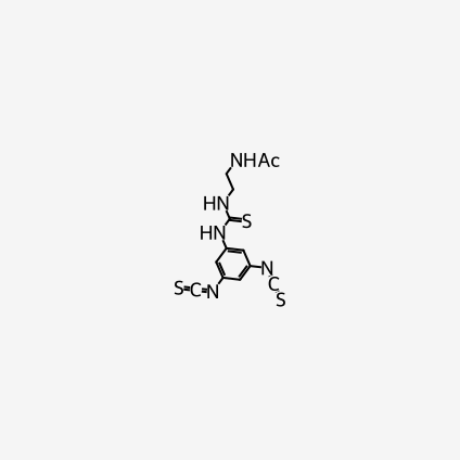 CC(=O)NCCNC(=S)Nc1cc(N=C=S)cc(N=C=S)c1